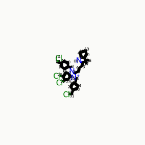 CN1C(=CC=Cc2n(Cc3ccc(CCl)cc3)c3cc(Cl)c(Cl)cc3[n+]2Cc2ccc(CCl)cc2)C(C)(C)c2ccccc21